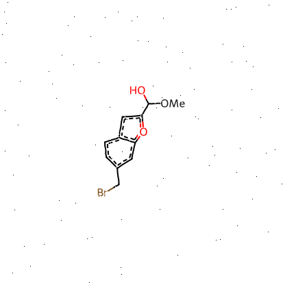 COC(O)c1cc2ccc(CBr)cc2o1